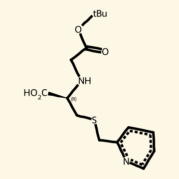 CC(C)(C)OC(=O)CN[C@@H](CSCc1ccccn1)C(=O)O